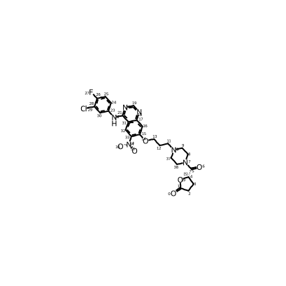 O=C1CC[C@@H](C(=O)N2CCN(CCCOc3cc4ncnc(Nc5ccc(F)c(Cl)c5)c4cc3[N+](=O)[O-])CC2)O1